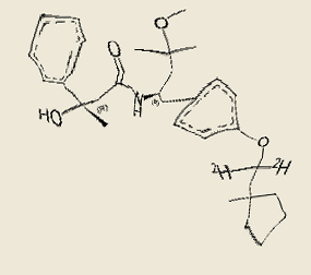 [2H]C([2H])(Oc1ccc([C@@H](NC(=O)[C@](C)(O)c2ccccc2)C(C)(C)OC)cc1)C1(C)CCCC1